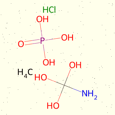 C.Cl.NC(O)(O)O.O=P(O)(O)O